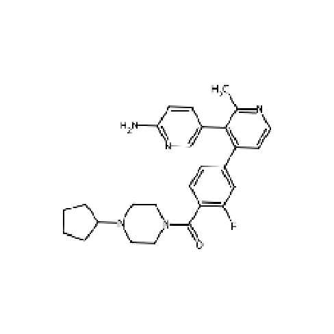 Cc1nccc(-c2ccc(C(=O)N3CCN(C4CCCC4)CC3)c(F)c2)c1-c1ccc(N)nc1